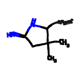 CCCCCC1NC(=N)CC1(C)C